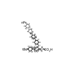 CCC[C@H]1CC[C@H](C2CCN(c3cnc(-c4ccc(C[C@H](NC(=O)c5ccc(C(C)(C)C)cc5)C(=O)N5CC(C(=O)O)C5)cc4)nc3)CC2)CC1